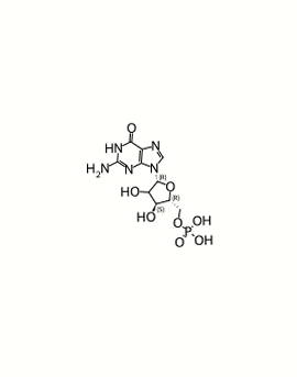 Nc1nc2c(ncn2[C@@H]2O[C@H](COP(=O)(O)O)[C@@H](O)C2O)c(=O)[nH]1